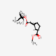 COC(=O)C1CC/C(=C/C(=O)OC(C)(C)C)C1